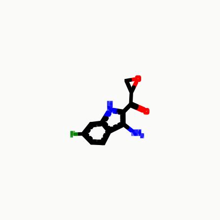 Nc1c(C(=O)C2CO2)[nH]c2cc(F)ccc12